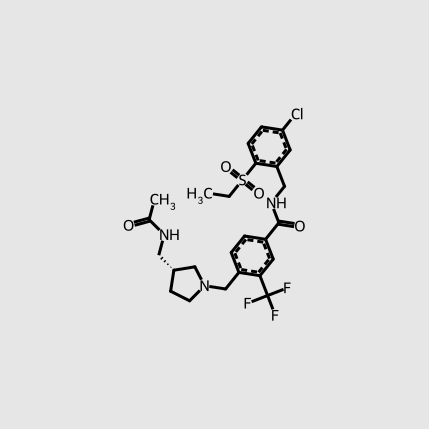 CCS(=O)(=O)c1ccc(Cl)cc1CNC(=O)c1ccc(CN2CC[C@H](CNC(C)=O)C2)c(C(F)(F)F)c1